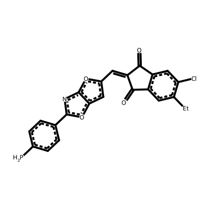 CCc1cc2c(cc1Cl)C(=O)/C(=C/c1cc3oc(-c4ccc(P)cc4)nc3o1)C2=O